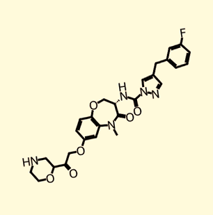 CN1C(=O)[C@@H](NC(=O)n2cc(Cc3cccc(F)c3)cn2)COc2ccc(OCC(=O)C3CNCCO3)cc21